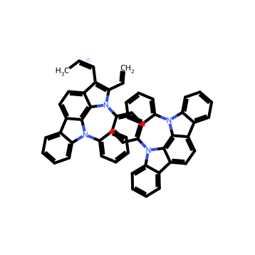 C=Cc1c(/C=C\C)c2ccc3c4ccccc4n(-c4ccccc4)c3c2n1-c1ccc(-n2c3ccccc3c3ccc4c5ccccc5n(-c5ccccc5)c4c32)cc1